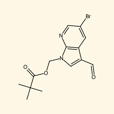 CC(C)(C)C(=O)OCn1cc(C=O)c2cc(Br)cnc21